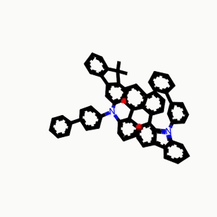 CC1(C)c2ccccc2-c2cc(N(c3ccc(-c4ccccc4)cc3)c3ccccc3-c3cccc4cccc(-c5cccc6c7ccccc7n(-c7cccc(-c8ccccc8)c7)c56)c34)ccc21